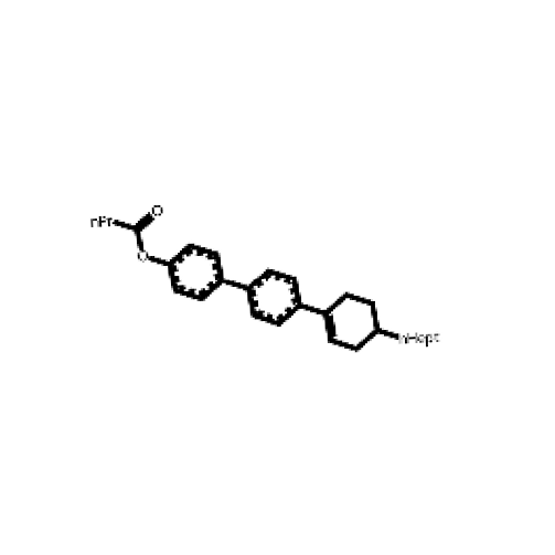 CCCCCCCC1CC=C(c2ccc(-c3ccc(OC(=O)CCC)cc3)cc2)CC1